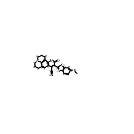 COc1ccc2nc(-c3c(C#N)c4cc5c6c(c4oc3=O)CCCN6CCC5)sc2c1